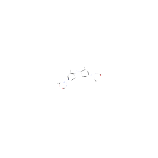 Cc1cc(N2C[C@@H](C)O[C@H](C)C2)cc2c1Nc1c(C)cc(N3C[C@@H](C)O[C@@H](C)C3)cc1S2